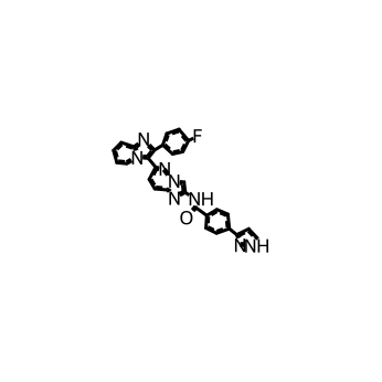 O=C(Nc1cn2nc(-c3c(-c4ccc(F)cc4)nc4ccccn34)ccc2n1)c1ccc(-c2cc[nH]n2)cc1